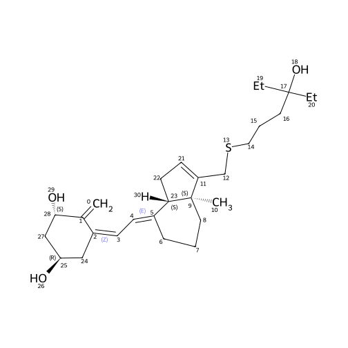 C=C1/C(=C\C=C2/CCC[C@]3(C)C(CSCCCC(O)(CC)CC)=CC[C@@H]23)C[C@@H](O)C[C@@H]1O